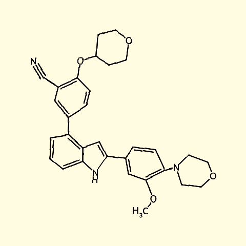 COc1cc(-c2cc3c(-c4ccc(OC5CCOCC5)c(C#N)c4)cccc3[nH]2)ccc1N1CCOCC1